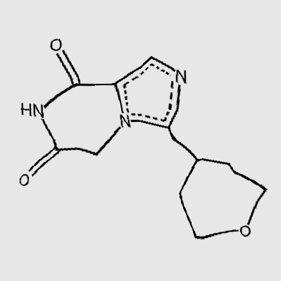 O=C1Cn2c(cnc2C2CCOCC2)C(=O)N1